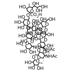 CC(=O)NC1C(O)[C@H](O)[C@H](CO)O[C@H]1OC1[C@@H](OCC2O[C@@H](O[C@@H]3C(CO)O[C@@H](O[C@@H]4C(CO[C@@H]5O[C@@H](C)[C@@H](O)C(O)C5O)O[C@@H](C)C(NC(C)=O)[C@H]4O)C(NC(C)=O)[C@H]3O)C(O)[C@@H](O[C@H]3OC(CO)[C@@H](O)C(O)C3O[C@@H]3OC(CO)[C@@H](O[C@@H]4OC(CO[C@]5(C(=O)O)C[C@@H](O)[C@@H](C)C([C@H](O)[C@H](O)CO)O5)[C@H](O)[C@H](O)C4O)[C@H](O)C3NC(C)=O)[C@@H]2O)OC(CO)[C@@H](O)[C@@H]1O